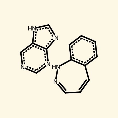 C1=Cc2ccccc2NN=C1.c1ncc2[nH]cnc2n1